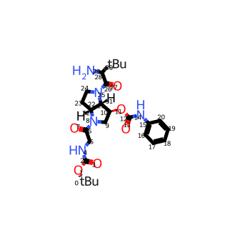 CC(C)(C)OC(=O)NCC(=O)N1C[C@H](OC(=O)Nc2ccccc2)[C@@H]2[C@H]1CCN2C(=O)C(N)C(C)(C)C